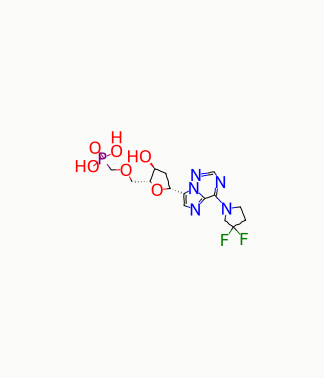 O=P(O)(O)COC[C@H]1O[C@@H](c2cnc3c(N4CCC(F)(F)C4)ncnn23)C[C@@H]1O